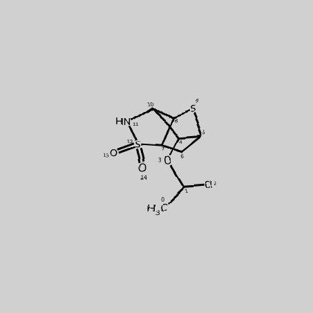 CC(Cl)OC1C2CC3C(S2)C1NS3(=O)=O